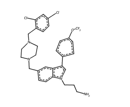 NCCCn1cc(-c2ccc(OC(F)(F)F)cc2)c2cc(CN3CCN(Cc4ccc(Cl)cc4Cl)CC3)ccc21